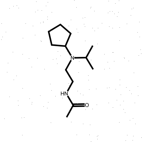 CC(=O)NCCN(C(C)C)C1CCCC1